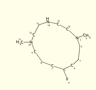 CN1CCCC(F)CCCN(C)CCNCC1